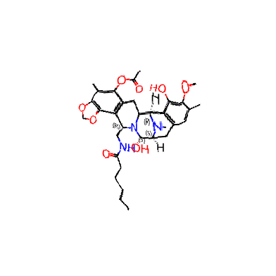 CCCCCC(=O)NC[C@H]1c2c(c(OC(C)=O)c(C)c3c2OCO3)CC2[C@H]3c4c(cc(C)c(OC)c4O)C[C@@H]([C@H](O)N21)N3C